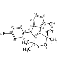 CCC[C@@]1(C)OCC(C)(C)c2c1c1c(O)cccc1n2-c1ccc(F)cc1